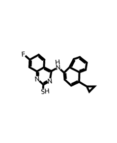 Fc1ccc2c(Nc3ccc(C4CC4)c4ccccc34)nc(S)nc2c1